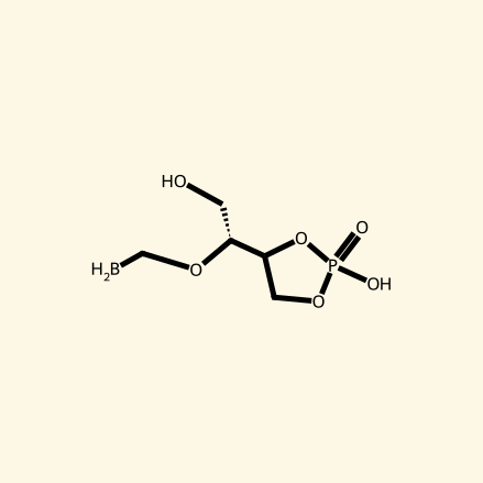 BCO[C@H](CO)C1COP(=O)(O)O1